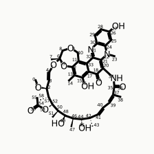 CO[C@H]1/C=C/O[C@]2(C)COCc3c(c(C)c(O)c4c(=O)c(c5n(C)c6cc(O)ccc6nc-5c34)NC(=O)/C(C)=C\C=C\[C@H](C)[C@H](O)[C@@H](C)[C@@H](O)[C@@H](C)[C@H](OC(C)=O)[C@@H]1C)O2